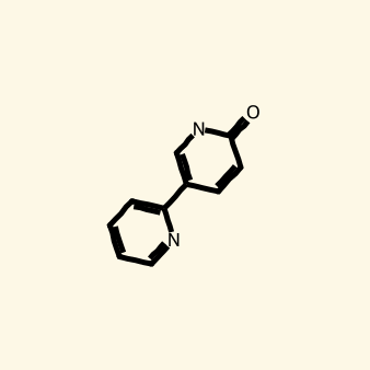 O=C1C=CC(c2ccccn2)=C[N]1